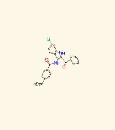 CCCCCCCCCCc1ccc(C(=O)Nc2c(C(=O)c3ccccc3)[nH]c3cc(Cl)ccc23)cc1